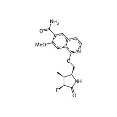 COc1cc2c(OC[C@H]3NC(=O)[C@@H](F)[C@H]3C)nccc2cc1C(N)=O